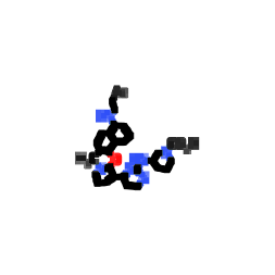 CC(=O)CCNc1cccc2c(Oc3ncccc3-c3ccnc(NC4CCCN(C(=O)O)C4)n3)c(C)ccc12